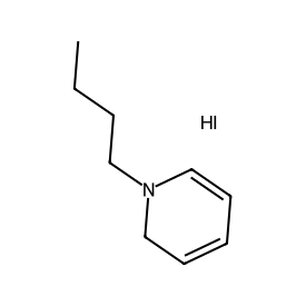 CCCCN1C=CC=CC1.I